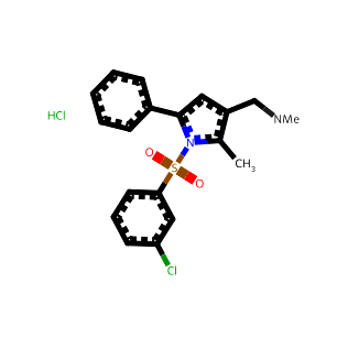 CNCc1cc(-c2ccccc2)n(S(=O)(=O)c2cccc(Cl)c2)c1C.Cl